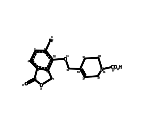 O=C1OCc2c1ccc(Br)c2OCC1=CCN(C(=O)O)CC1